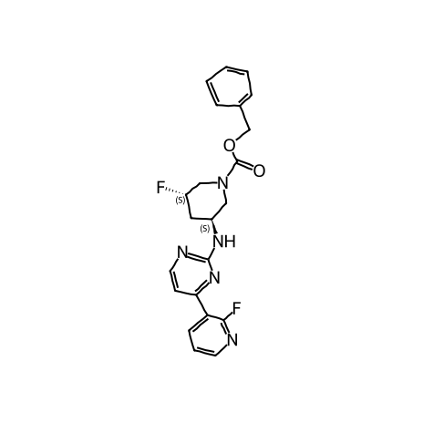 O=C(OCc1ccccc1)N1C[C@@H](F)C[C@H](Nc2nccc(-c3cccnc3F)n2)C1